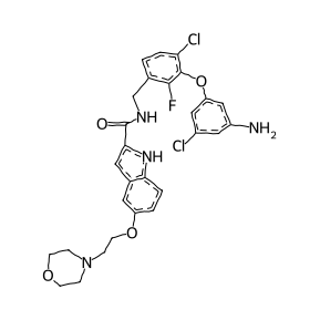 Nc1cc(Cl)cc(Oc2c(Cl)ccc(CNC(=O)c3cc4cc(OCCN5CCOCC5)ccc4[nH]3)c2F)c1